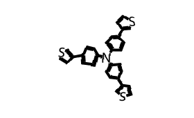 c1cc(-c2ccc(N(c3ccc(-c4ccsc4)cc3)c3ccc(-c4ccsc4)cc3)cc2)cs1